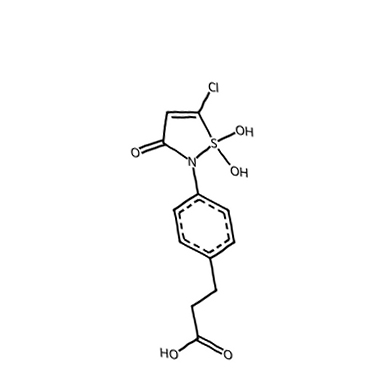 O=C(O)CCc1ccc(N2C(=O)C=C(Cl)S2(O)O)cc1